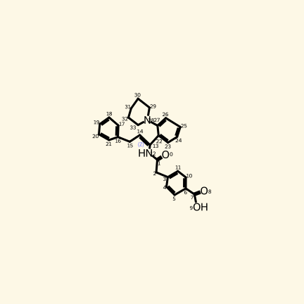 O=C(Cc1ccc(C(=O)O)cc1)N/C(=C\Cc1ccccc1)c1ccccc1N1CCCCC1